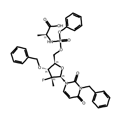 C[C@H](NP(=O)(OC[C@H]1O[C@@H](n2ccc(=O)n(Cc3ccccc3)c2=O)[C@](C)(F)[C@@H]1OCc1ccccc1)Oc1ccccc1)C(=O)O